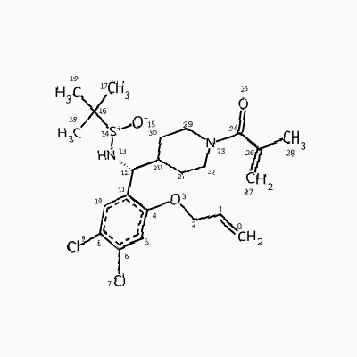 C=CCOc1cc(Cl)c(Cl)cc1[C@H](N[S+]([O-])C(C)(C)C)C1CCN(C(=O)C(=C)C)CC1